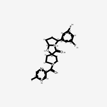 Cc1cnc(C(=O)N2CCC3(CC2)OC2CCC(c4cc(F)cc(F)c4)N2C3=O)cn1